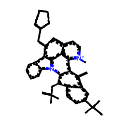 Cc1c2cc(C(C)(C)C)ccc2c(CC(C)(C)C)c2c1c1c3c(cc[n+]1C)cc(CC1CCCC1)c1c4ccccc4n2c13